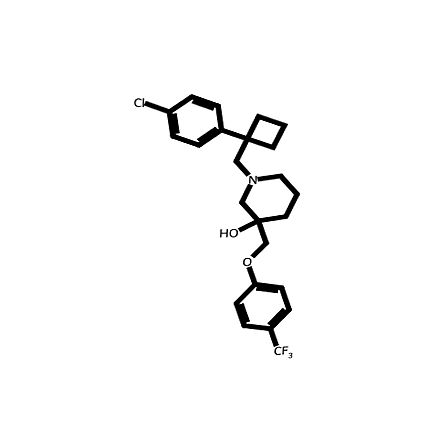 OC1(COc2ccc(C(F)(F)F)cc2)CCCN(CC2(c3ccc(Cl)cc3)CCC2)C1